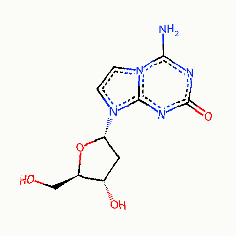 Nc1nc(=O)nc2n([C@@H]3C[C@H](O)[C@@H](CO)O3)ccn12